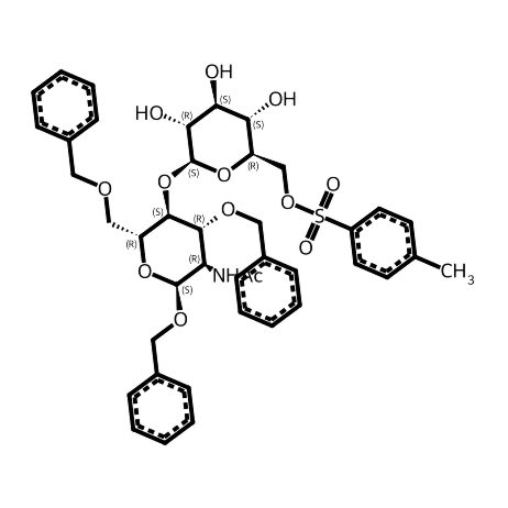 CC(=O)N[C@H]1[C@@H](OCc2ccccc2)O[C@H](COCc2ccccc2)[C@@H](O[C@@H]2O[C@H](COS(=O)(=O)c3ccc(C)cc3)[C@@H](O)[C@H](O)[C@H]2O)[C@@H]1OCc1ccccc1